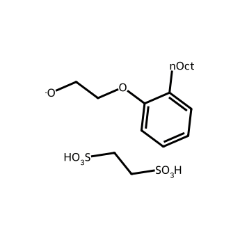 CCCCCCCCc1ccccc1OCC[O].O=S(=O)(O)CCS(=O)(=O)O